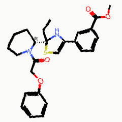 CCC1([C@H]2CCCCN2C(=O)COc2ccccc2)NC(c2cccc(C(=O)OC)c2)=CS1